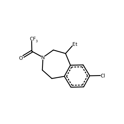 CCC1CN(C(=O)C(F)(F)F)CCc2ccc(Cl)cc21